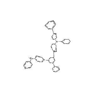 c1ccc(Nc2ccc(-c3cc(-c4ccccc4)cc(-c4ccc(N(c5ccccc5)c5ccc(-c6ccccc6)cc5)cc4)c3)cc2)cc1